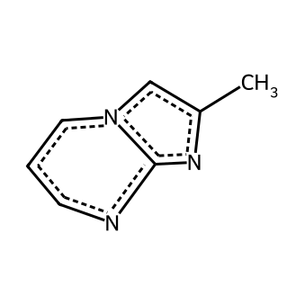 Cc1cn2cccnc2n1